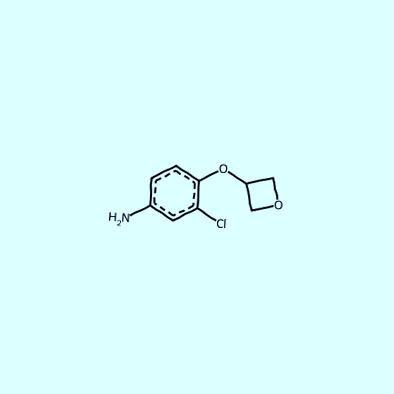 Nc1ccc(OC2COC2)c(Cl)c1